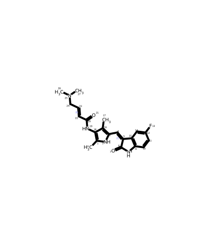 Cc1[nH]c(/C=C2\C(=O)Nc3ccc(F)cc32)c(C)c1NC(=O)/C=C/CN(C)C